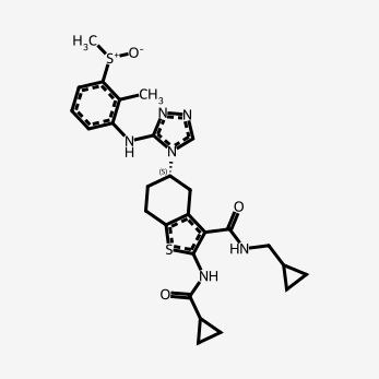 Cc1c(Nc2nncn2[C@H]2CCc3sc(NC(=O)C4CC4)c(C(=O)NCC4CC4)c3C2)cccc1[S+](C)[O-]